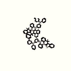 C=C/C=C\C(=C/C)N(c1ccccc1)c1cccc(N2c3ccccc3B3C4=C(c5ccccc5C4(C)C)C(C)(c4cccc(-c5cccc(N(c6ccccc6)c6cccc(N7c8ccccc8B8c9sc%10ccccc%10c9C(C)(C)c9cccc7c98)c6)c5)c4)c4c3c2c2cccc3c2c4CC=C3)c1